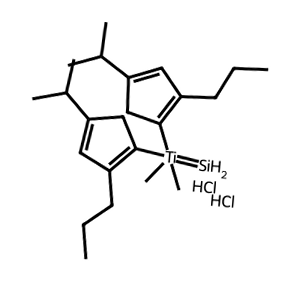 CCCC1=[C]([Ti]([CH3])([CH3])(=[SiH2])[C]2=C(CCC)C=C(C(C)C)C2)CC(C(C)C)=C1.Cl.Cl